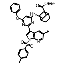 COC(=O)C1C2CCC(CC2)C1Nc1cc(Oc2ccccc2)nc(-c2cn(S(=O)(=O)c3ccc(C)cc3)c3ncc(F)cc23)n1